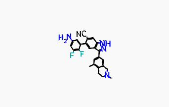 Cc1cc(-c2n[nH]c3cc(C#N)c(-c4cc(N)cc(F)c4F)cc23)cc2c1CCN(C)C2